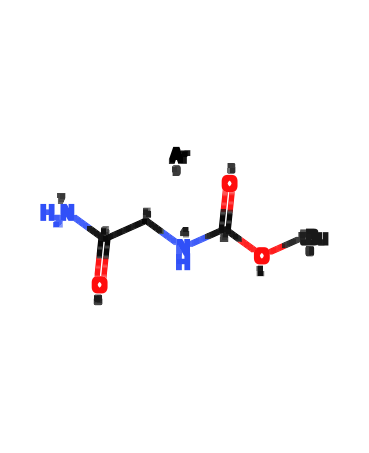 CC(C)(C)OC(=O)NCC(N)=O.[Ar]